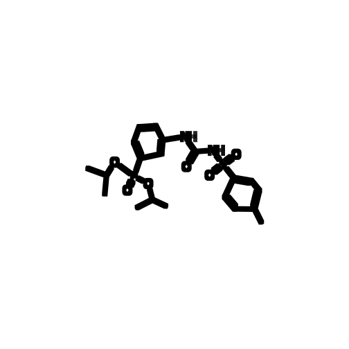 Cc1ccc(S(=O)(=O)NC(=O)Nc2cccc(P(=O)(OC(C)C)OC(C)C)c2)cc1